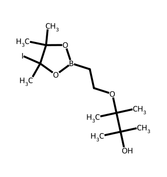 CC(C)(O)C(C)(C)OCCB1OC(C)(C)C(C)(I)O1